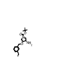 CCc1cccc(CO[C@H]2CN(C(=O)OC(C)(C)C)C[C@@H]2N)c1